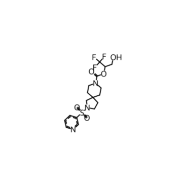 O=C(OC(CO)C(F)(F)F)N1CCC2(CC1)CCN(S(=O)(=O)c1cccnc1)C2